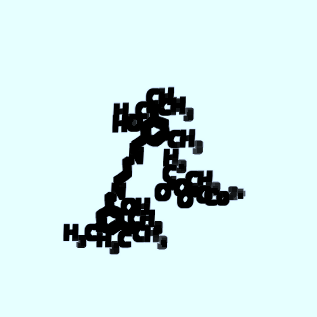 CC(=O)[O-].CC(=O)[O-].Cc1cc(C=NCCCN=Cc2cc(C)cc(C(C)(C)C)c2O)c(O)c(C(C)(C)C)c1.[Co+2]